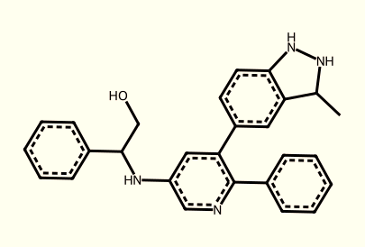 CC1NNc2ccc(-c3cc(NC(CO)c4ccccc4)cnc3-c3ccccc3)cc21